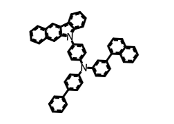 c1ccc(-c2ccc(N(c3ccc(-n4c5ccccc5c5cc6ccccc6cc54)cc3)c3cccc(-c4cccc5ccccc45)c3)cc2)cc1